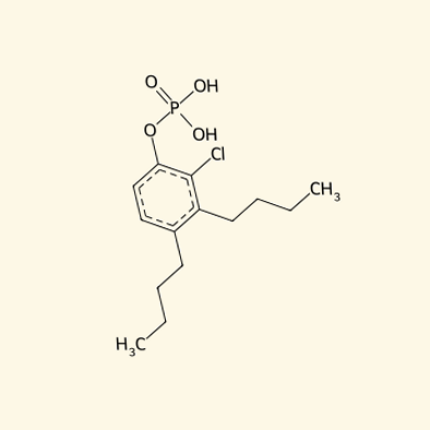 CCCCc1ccc(OP(=O)(O)O)c(Cl)c1CCCC